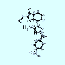 Cc1c(C=O)sc2c(-c3sc(Nc4ccc(N(C)C)cc4)nc3N)cccc12